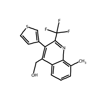 Cc1cccc2c(CO)c(-c3ccsc3)c(C(F)(F)F)nc12